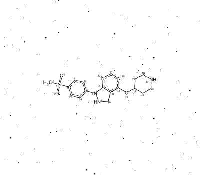 CS(=O)(=O)c1ccc(N2NCc3c(OC4CCNCC4)ncnc32)cc1